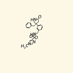 Cn1cnc(S(=O)(=O)NCc2cccc(C3(Cc4ccccc4)CNC(=O)C3)c2)c1